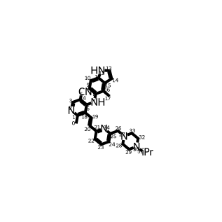 Cc1ncc(C#N)c(Nc2ccc3[nH]ccc3c2C)c1C=Cc1cccc(CN2CCN(C(C)C)CC2)n1